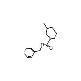 CC1CCCN(C(=O)OCC2=CCCC=C2)C1